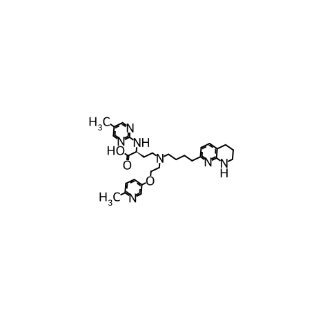 Cc1cnc(N[C@@H](CCN(CCCCc2ccc3c(n2)NCCC3)CCOc2ccc(C)nc2)C(=O)O)nc1